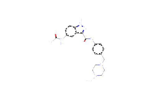 CCC(=O)Nc1ccc2[nH]nc(C(=O)Nc3ccc(CN4CCN(C)CC4)cc3)c2c1